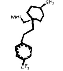 COC[C@]1(CCc2ccc(C(F)(F)F)cc2)CC[C@H]([SiH3])CC1